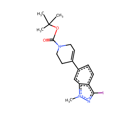 Cn1nc(I)c2ccc(C3=CCN(C(=O)OC(C)(C)C)CC3)cc21